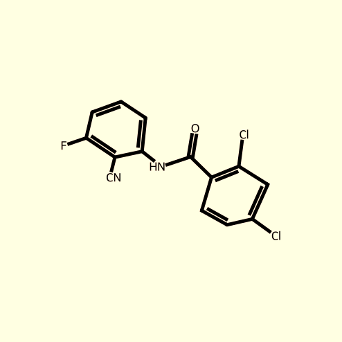 N#Cc1c(F)cccc1NC(=O)c1ccc(Cl)cc1Cl